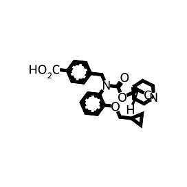 O=C(O)c1ccc(CN(C(=O)O[C@H]2CN3CCC2CC3)c2ccccc2OCC2CC2)cc1